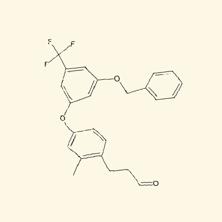 Cc1cc(Oc2cc(OCc3ccccc3)cc(C(F)(F)F)c2)ccc1CCC=O